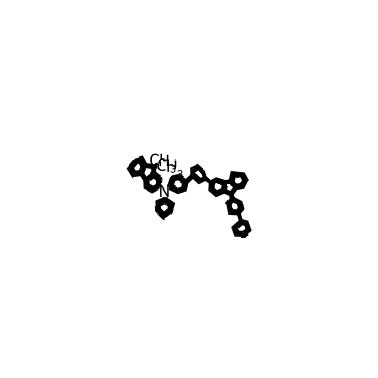 CC1(C)c2ccccc2-c2ccc(N(c3ccccc3)c3ccc(C4=CC(c5ccc6c(c5)-c5ccccc5C6c5ccc(-c6ccccc6)cc5)CC=C4)cc3)cc21